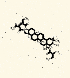 C/C=C(/C)C(=O)OC[C@@]12C(CC(C)(C)[C@@H](O)[C@@H]1O)C1=CCC3[C@@]4(C)CC[C@H](OC(=O)/C(C)=C\C)[C@](C)(COC(=O)/C(C)=C\C)C4CC[C@@]3(C)[C@]1(C)C[C@H]2O